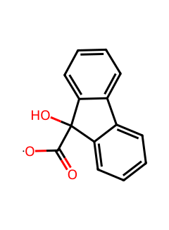 [O]C(=O)C1(O)c2ccccc2-c2ccccc21